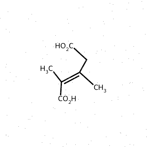 CC(CC(=O)O)=C(C)C(=O)O